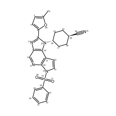 Cc1ccc(-c2nc3cnc4c(ccn4S(=O)(=O)c4ccccc4)c3n2[C@H]2CC[C@H](C#N)CC2)o1